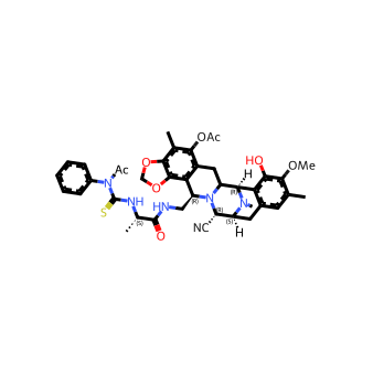 COc1c(C)cc2c(c1O)[C@@H]1C3Cc4c(OC(C)=O)c(C)c5c(c4[C@H](CNC(=O)[C@H](C)NC(=S)[N]([Ac])c4ccccc4)N3[C@@H](C#N)[C@H](C2)N1C)OCO5